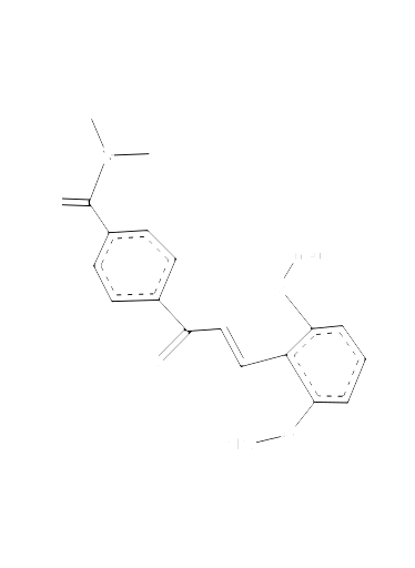 CCCCOc1cccc(OCCCC)c1C=CC(=O)c1ccc(C(=O)N(C)C)cc1